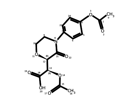 CC(=O)Oc1ccc(N2CCO[C@H]([C@@H](OC(C)=O)C(=O)O)C2=O)cc1